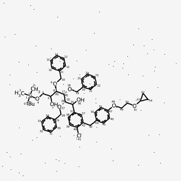 CC(C)(C)[Si](C)(C)OCC(O)[C@@H](OCc1ccccc1)[C@H](OCc1ccccc1)[C@@H](OCc1ccccc1)C(O)c1ccc(Cl)c(Cc2ccc(OCCOC3CC3)cc2)c1